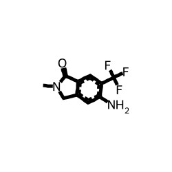 CN1Cc2cc(N)c(C(F)(F)F)cc2C1=O